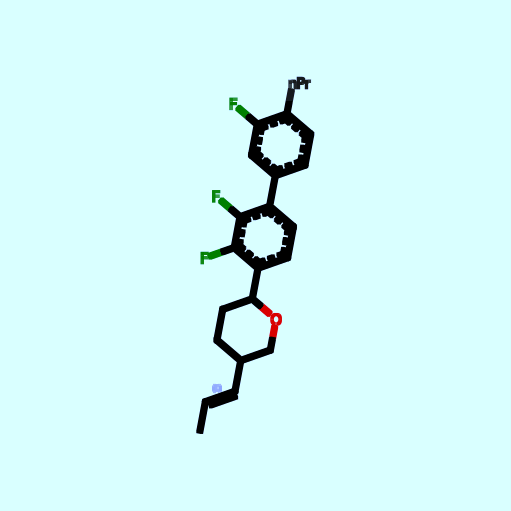 C/C=C/C1CCC(c2ccc(-c3ccc(CCC)c(F)c3)c(F)c2F)OC1